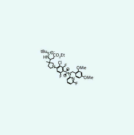 CCOC(=O)CC(N[S@@+]([O-])C(C)(C)C)C1(C)CCN(c2cc(F)c(S(=O)(=O)N(Cc3ccc(OC)cc3OC)c3cccc(F)n3)c(F)c2Cl)C1